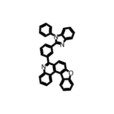 c1ccc(-n2c(-c3cccc(-c4nc5ccccc5c5c4ccc4oc6ccccc6c45)c3)nc3ccccc32)cc1